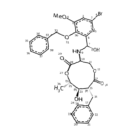 COc1cc(Br)nc(C(O)NC2COC(=O)[C@H](Cc3ccccc3)[C@@H](O)[C@H](C)OC2=O)c1OCc1ccccc1